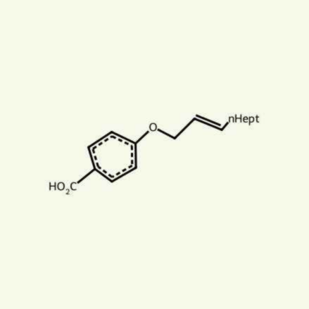 CCCCCCCC=CCOc1ccc(C(=O)O)cc1